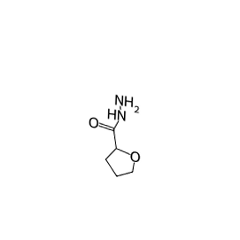 NNC(=O)C1CCCO1